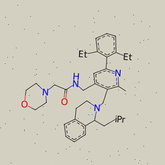 CCc1cccc(CC)c1-c1cc(CNC(=O)CN2CCOCC2)c(CN2CCc3ccccc3C2CC(C)C)c(C)n1